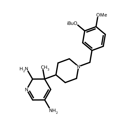 COc1ccc(CN2CCC(C3(C)C=C(N)C=NC3N)CC2)cc1OCC(C)C